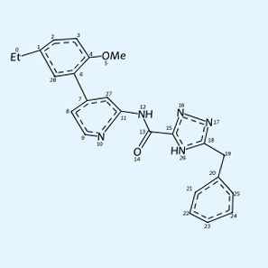 CCc1ccc(OC)c(-c2ccnc(NC(=O)c3nnc(Cc4ccccc4)[nH]3)c2)c1